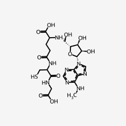 CNc1ncnc2c1ncn2[C@@H]1O[C@H](CO)[C@@H](O)[C@H]1O.NC(CCC(=O)NC(CS)C(=O)NCC(=O)O)C(=O)O